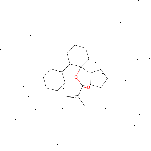 C=C(C)C(=O)OC1(C2CCCC2)CCCCC1C1CCCCC1